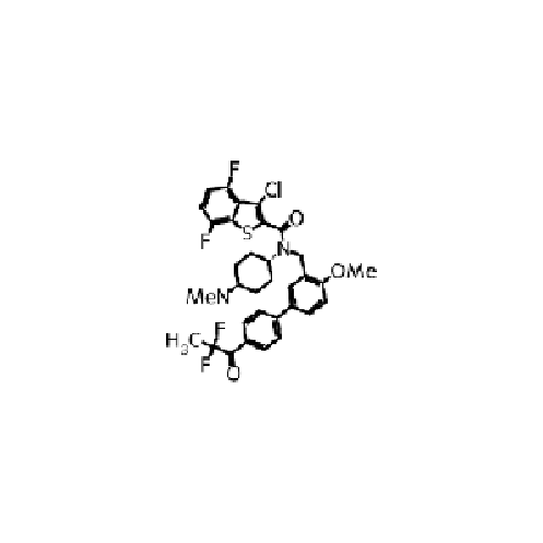 CN[C@H]1CC[C@H](N(Cc2cc(-c3ccc(C(=O)C(C)(F)F)cc3)ccc2OC)C(=O)c2sc3c(F)ccc(F)c3c2Cl)CC1